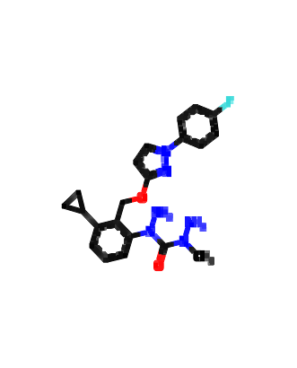 CN(N)C(=O)N(N)c1cccc(C2CC2)c1COc1ccn(-c2ccc(F)cc2)n1